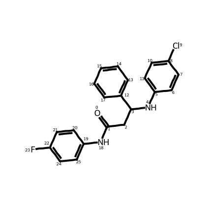 O=C(CC(Nc1ccc(Cl)cc1)c1ccccc1)Nc1ccc(F)cc1